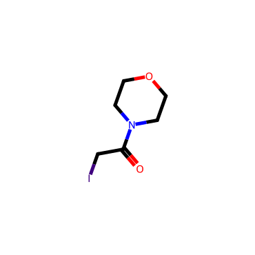 O=C(CI)N1CCOCC1